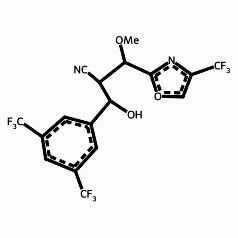 COC(c1nc(C(F)(F)F)co1)C(C#N)C(O)c1cc(C(F)(F)F)cc(C(F)(F)F)c1